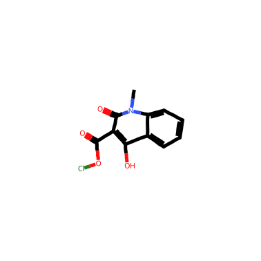 Cn1c(=O)c(C(=O)OCl)c(O)c2ccccc21